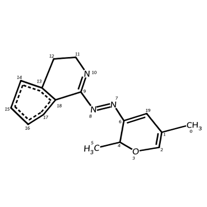 CC1=COC(C)C(N=NC2=NCCc3ccccc32)=C1